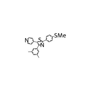 CSc1ccc(-c2nc(-c3cc(C)cc(C)c3)c(-c3ccncc3)s2)cc1